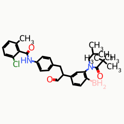 Bc1ccc(C(C=O)Cc2ccc(NC(=O)c3c(C)cccc3Cl)cc2)cc1N(CC(C)C)C(=O)C(C)(C)C